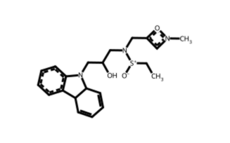 CC[S+]([O-])N(Cc1cn(C)o1)CC(O)CN1c2ccccc2C2C=CC=CC21